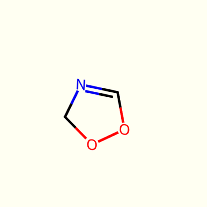 C1=NCOO1